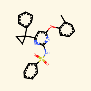 Cc1ccccc1Oc1cc(C2(c3ccccc3)CC2)nc(NS(=O)(=O)c2ccccc2)n1